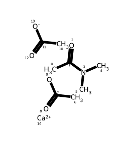 CC(=O)N(C)C.CC(=O)[O-].CC(=O)[O-].[Ca+2]